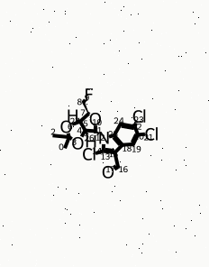 CC1(C)O[C@@H]2[C@H](O1)[C@@H](CF)O[C@H]2n1c(Cl)c(C=O)c2cc(Cl)c(Cl)cc21